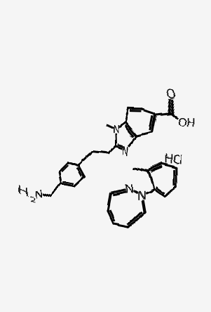 Cc1ccccc1N1C=CC=CC=N1.Cl.Cn1c(CCc2ccc(CN)cc2)nc2cc(C(=O)O)ccc21